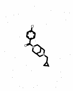 O=C(c1ccc(Cl)cc1)N1CC2CC(CN(CC3CC3)C2)C1